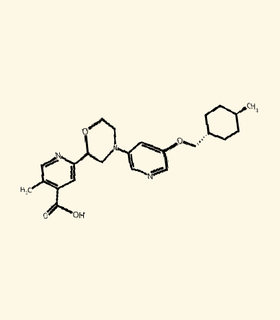 Cc1cnc(C2CN(c3cncc(OC[C@H]4CC[C@H](C)CC4)c3)CCO2)cc1C(=O)O